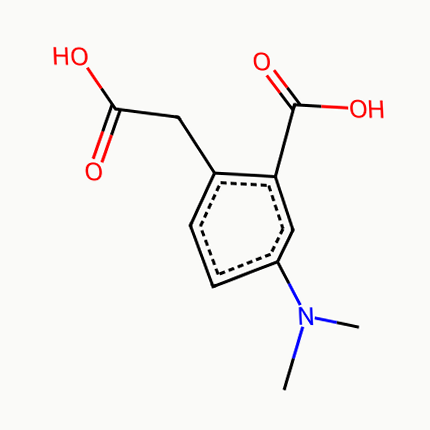 CN(C)c1ccc(CC(=O)O)c(C(=O)O)c1